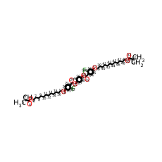 C=C(C)C(=O)OCCCCCCCCCCCCOc1ccc(C(=O)Oc2ccc(OC(=O)c3ccc(OCCCCCCCCCCCCOC(=O)C(=C)C)cc3F)cc2)c(F)c1